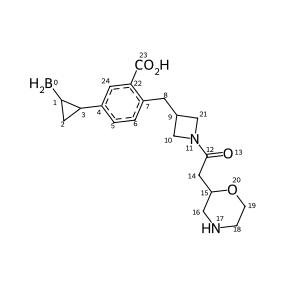 BC1CC1c1ccc(CC2CN(C(=O)CC3CNCCO3)C2)c(C(=O)O)c1